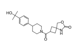 CC(C)(O)c1ccc(C2CCN(C(=O)C3CC4(COC(=O)N4)C3)CC2)cc1